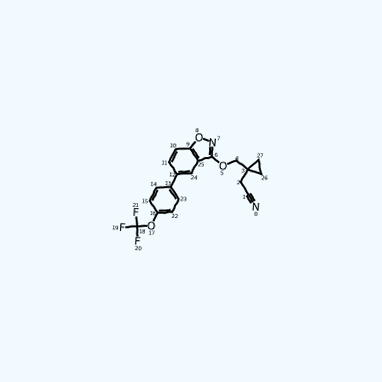 N#CCC1(COc2noc3ccc(-c4ccc(OC(F)(F)F)cc4)cc23)CC1